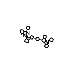 c1ccc(-c2nc(-n3c4ccccc4c4cc(-c5ccc(-c6cc7c8ccccc8n(-c8ccccc8)c7c7ccccc67)cc5)ccc43)nc3ccccc23)cc1